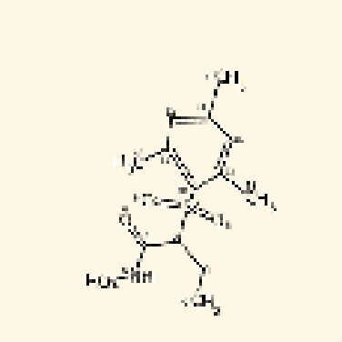 CCC(C(=O)NO)S(=O)(=O)c1c(C)cc(C)cc1C